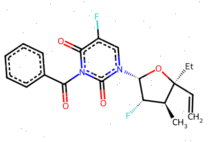 C=C[C@]1(CC)O[C@@H](n2cc(F)c(=O)n(C(=O)c3ccccc3)c2=O)[C@@H](F)[C@@H]1C